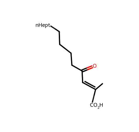 CCCCCCCCCCCC(=O)C=C(C)C(=O)O